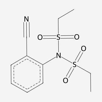 CCS(=O)(=O)N(c1ccccc1C#N)S(=O)(=O)CC